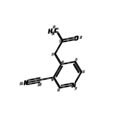 CC(=O)Cc1ccncc1C#N